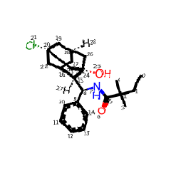 CCC(C)(C)C(=O)N[C@@H](c1ccccc1)[C@H]1C2C[C@H]3C[C@](Cl)(C2)C[C@@]1(O)C3